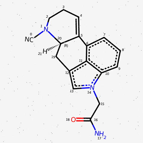 N#CN1CCC=C2c3cccc4c3c(cn4CC(N)=O)C[C@H]21